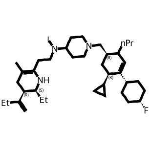 C=C(CC)[C@H]1CC(C)=C(CCN(I)C2CCN(C[C@@H]3C[C@H](C4CC4)C([C@H]4CC[C@@H](F)CC4)=CC3CCC)CC2)N[C@H]1CC